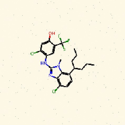 CCCC(CCC)c1ccc(Cl)c2nc(Nc3cc(C(F)(F)F)c(O)cc3Cl)n(C)c12